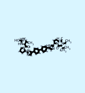 CCN(CC)[C@@H](C(=O)N1CCC[C@H]1c1ncc(-c2ccc(-c3ccc(-c4cnc([C@@H]5CCCN5C(=O)[C@@H](NC(=O)O)C(C)C)[nH]4)cc3)cc2)[nH]1)C(C)C